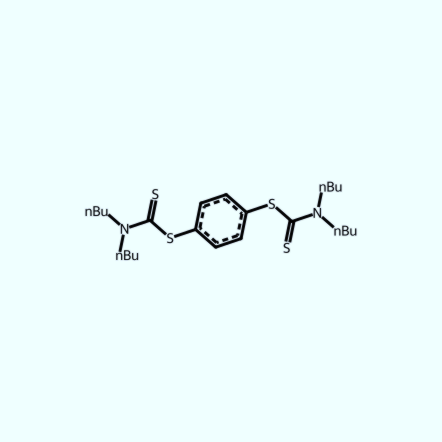 CCCCN(CCCC)C(=S)Sc1ccc(SC(=S)N(CCCC)CCCC)cc1